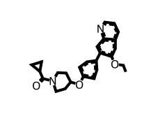 CCOc1cc2cccnc2cc1-c1ccc(OC2CCN(C(=O)C3CC3)CC2)cc1